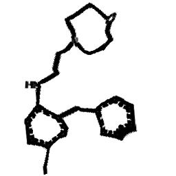 Cc1ccc(NCCN2CCOCC2)c(Cc2ccccc2)c1